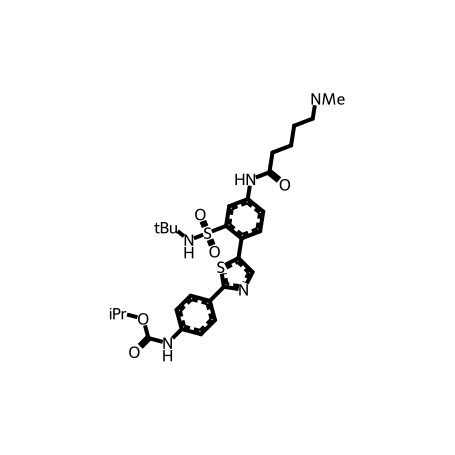 CNCCCCC(=O)Nc1ccc(-c2cnc(-c3ccc(NC(=O)OC(C)C)cc3)s2)c(S(=O)(=O)NC(C)(C)C)c1